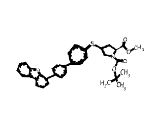 COC(=O)[C@@H]1CC(Sc2ccc(-c3ccc(-c4cccc5c4oc4ccccc45)cc3)cc2)CN1C(=O)OC(C)(C)C